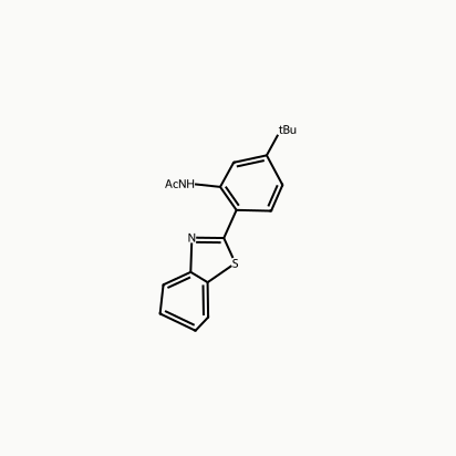 CC(=O)Nc1cc(C(C)(C)C)ccc1-c1nc2ccccc2s1